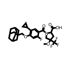 COC1(C(F)(F)F)CC(C(=O)O)N(C(=O)c2cc(C3CC3)c(OCC34CC5CC(CC(C5)C3)C4)cc2F)C1